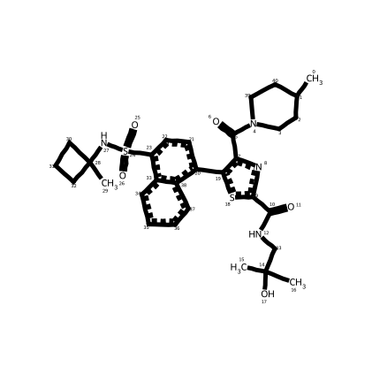 CC1CCN(C(=O)c2nc(C(=O)NCC(C)(C)O)sc2-c2ccc(S(=O)(=O)NC3(C)CCC3)c3ccccc23)CC1